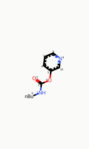 CCCCNC(=O)Oc1cccnc1